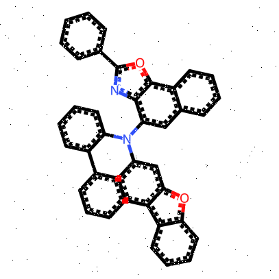 c1ccc(-c2nc3c(N(c4ccc5c(c4)oc4ccccc45)c4ccccc4-c4ccccc4)cc4ccccc4c3o2)cc1